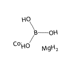 OB(O)O.[Co].[MgH2]